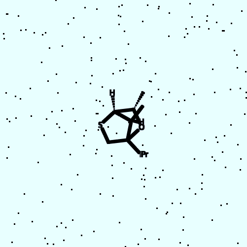 CC(C)C12CS[C@@H]([C@H](C)O1)[C@@H]2C